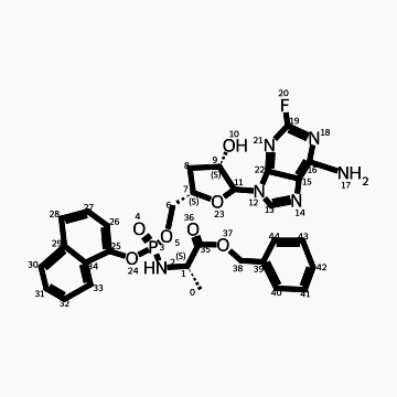 C[C@H](NP(=O)(OC[C@@H]1C[C@H](O)C(n2cnc3c(N)nc(F)nc32)O1)Oc1cccc2ccccc12)C(=O)OCc1ccccc1